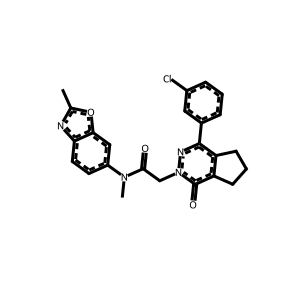 Cc1nc2ccc(N(C)C(=O)Cn3nc(-c4cccc(Cl)c4)c4c(c3=O)CCC4)cc2o1